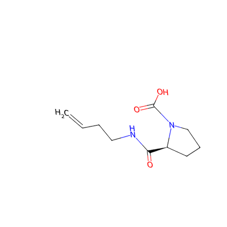 C=CCCNC(=O)[C@@H]1CCCN1C(=O)O